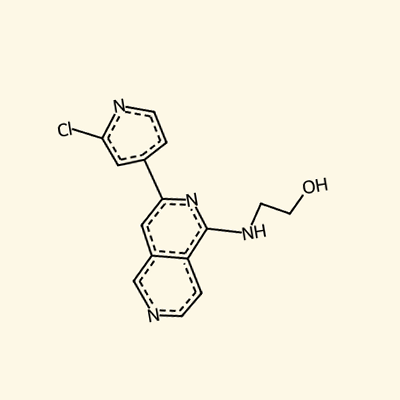 OCCNc1nc(-c2ccnc(Cl)c2)cc2cnccc12